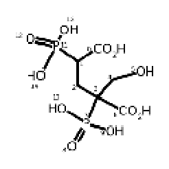 O=C(O)C(CC(CO)(C(=O)O)P(=O)(O)O)P(=O)(O)O